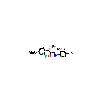 CCOC(C(=O)CNc1ccc(C#N)cc1OC)c1c(F)cc(OC)cc1F